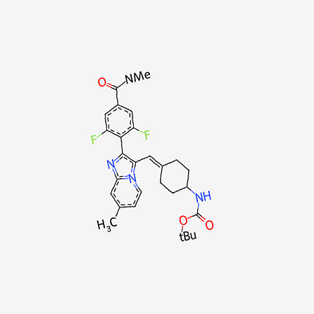 CNC(=O)c1cc(F)c(-c2nc3cc(C)ccn3c2C=C2CCC(NC(=O)OC(C)(C)C)CC2)c(F)c1